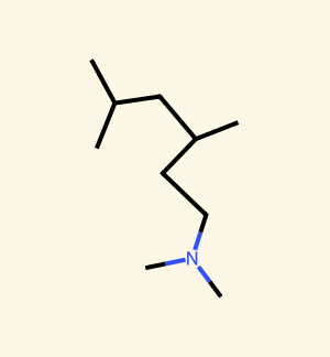 CC(C)CC(C)CCN(C)C